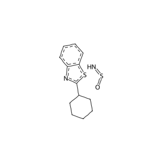 N=S=O.c1ccc2sc(C3CCCCC3)nc2c1